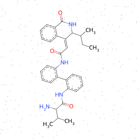 CCC(C)C1NC(=O)c2ccccc2C1=CC(=O)Nc1ccccc1-c1ccccc1NC(=O)C(N)C(C)C